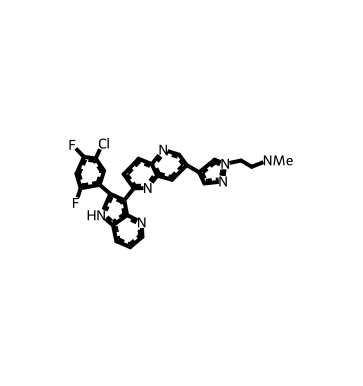 CNCCn1cc(-c2cnc3ccc(-c4c(-c5cc(Cl)c(F)cc5F)[nH]c5cccnc45)nc3c2)cn1